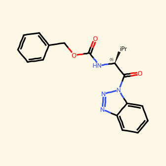 CC(C)[C@H](NC(=O)OCc1ccccc1)C(=O)n1nnc2ccccc21